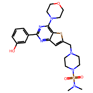 CN(C)S(=O)(=O)N1CCN(Cc2cc3nc(-c4cccc(O)c4)nc(N4CCOCC4)c3s2)CC1